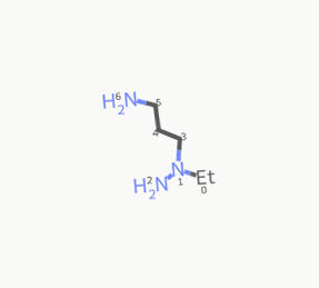 CCN(N)CCCN